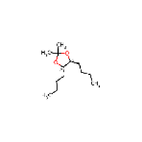 CCCC[C@@H]1OC(C)(C)O[C@H]1CCCC